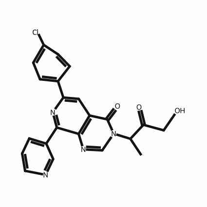 CC(C(=O)CO)n1cnc2c(-c3cccnc3)nc(-c3ccc(Cl)cc3)cc2c1=O